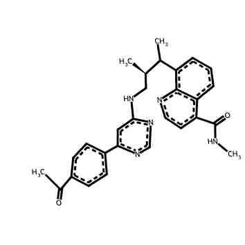 CNC(=O)c1ccnc2c(C(C)[C@H](C)CNc3cc(-c4ccc(C(C)=O)cc4)ncn3)cccc12